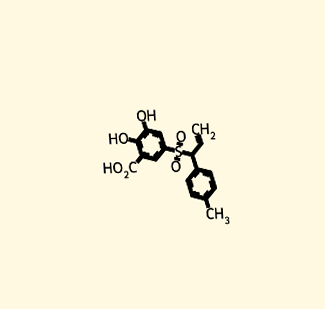 C=CC(c1ccc(C)cc1)S(=O)(=O)c1cc(O)c(O)c(C(=O)O)c1